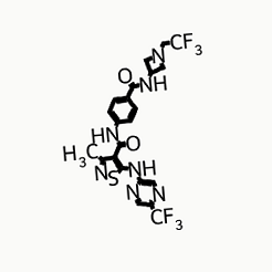 Cc1nsc(Nc2cnc(C(F)(F)F)cn2)c1C(=O)Nc1ccc(C(=O)NC2CN(CC(F)(F)F)C2)cc1